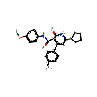 CCOc1ccc(NC(=O)c2c(-c3ccc(C)cc3)cc(C3CCCC3)[nH]c2=O)cc1